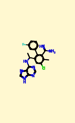 Cc1c(Cl)cc(C(C)Nc2ncnc3[nH]cnc23)c(-c2cccc(F)c2)c1C(=N)N